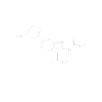 NC(=O)Nc1[nH]c2cc(-c3cccc(N)c3)ccc2c1C(N)=O